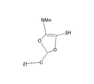 CCOC1OC(S)=C(NC)O1